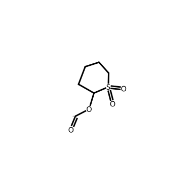 O=[C]OC1CCCCS1(=O)=O